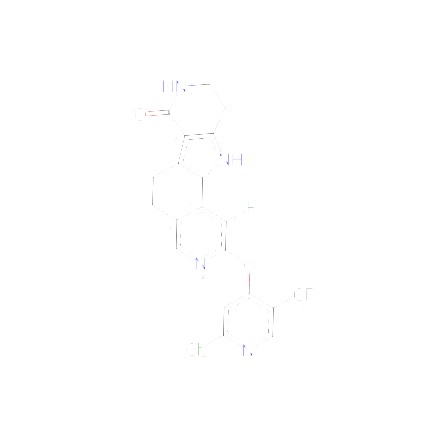 O=C1NCCc2[nH]c3c(c21)CCc1cnc(Oc2cc(Cl)ncc2C(F)(F)F)c(F)c1-3